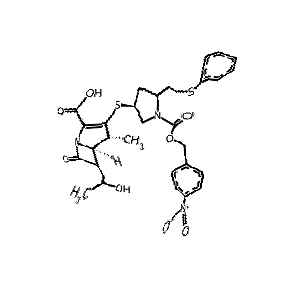 CC(O)[C@H]1C(=O)N2C(C(=O)O)=C(S[C@H]3CC(CSc4ccccc4)N(C(=O)OCc4ccc([N+](=O)[O-])cc4)C3)[C@H](C)[C@@H]12